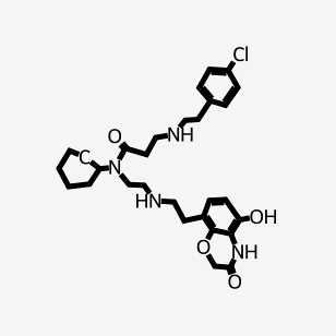 O=C1COc2c(CCNCCN(C(=O)CCNCCc3ccc(Cl)cc3)C3CCCCC3)ccc(O)c2N1